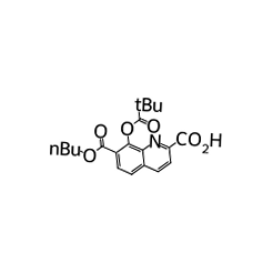 CCCCOC(=O)c1ccc2ccc(C(=O)O)nc2c1OC(=O)C(C)(C)C